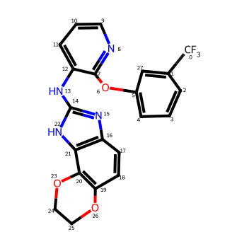 FC(F)(F)c1cccc(Oc2ncccc2Nc2nc3ccc4c(c3[nH]2)OCCO4)c1